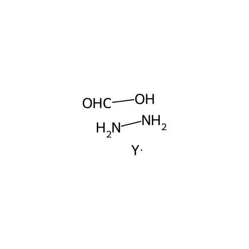 NN.O=CO.[Y]